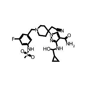 CS(=O)(=O)Nc1cc(F)cc(CN2CCC(CC#N)(n3cc(C(N)=O)c(NC(O)C4CC4)n3)CC2)c1